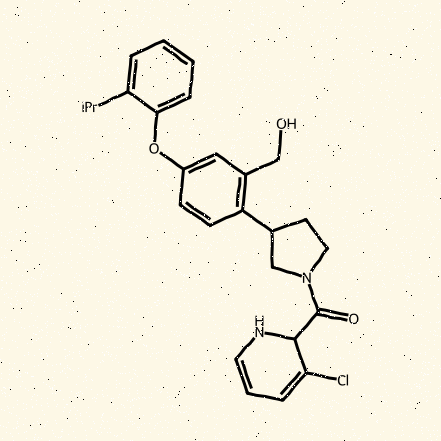 CC(C)c1ccccc1Oc1ccc(C2CCN(C(=O)C3NC=CC=C3Cl)C2)c(CO)c1